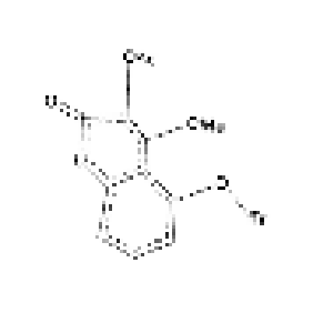 COc1c(OC(C)=O)c(=O)oc2cccc(OC(C)C)c12